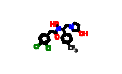 O=C(Cc1ccc(Cl)c(Cl)c1)N(O)C(CN1CCC(O)C1)c1ccc(C(F)(F)F)cc1